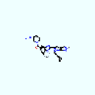 COc1cc(C(=O)N2CCC[C@@H](N)C2)cc2nc(-c3cc4cn(C)nc4n3CC3CC3)n(C)c12